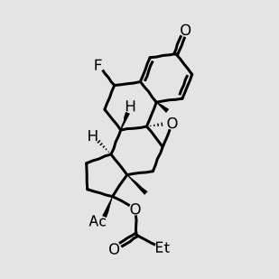 CCC(=O)O[C@]1(C(C)=O)CC[C@H]2[C@@H]3CC(F)C4=CC(=O)C=C[C@]4(C)[C@]34OC4C[C@@]21C